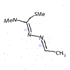 C/C=N/N=C(/NC)SC